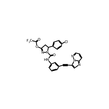 O=C(Nc1cccc(C#Cc2cnc3cccnn23)c1)N1N=C(OC(=O)C(F)(F)F)CC1c1ccc(Cl)cc1